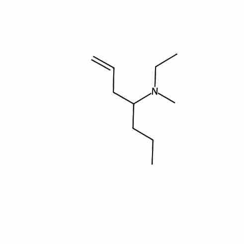 C=CCC(CCC)N(C)CC